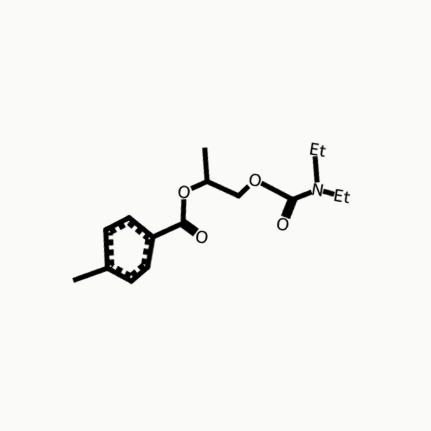 CCN(CC)C(=O)OCC(C)OC(=O)c1ccc(C)cc1